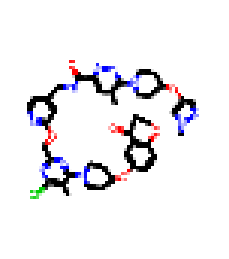 Cc1cc(C(=O)NCc2ccnc(OCc3nc(Cl)c(C)c(N4CCC(Oc5ccc6c(c5)C(=O)CCO6)CC4)n3)c2)nnc1N1CCC(Oc2cnn(C)c2)CC1